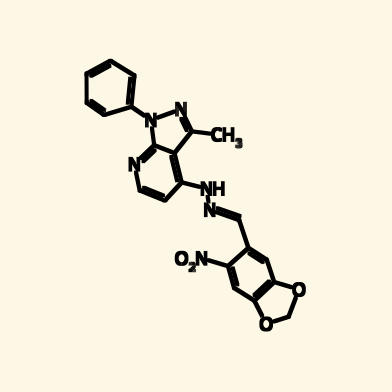 Cc1nn(-c2ccccc2)c2nccc(N/N=C/c3cc4c(cc3[N+](=O)[O-])OCO4)c12